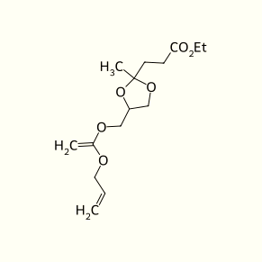 C=CCOC(=C)OCC1COC(C)(CCC(=O)OCC)O1